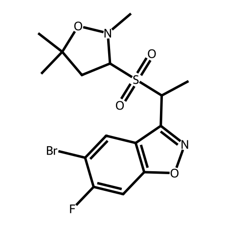 CC(c1noc2cc(F)c(Br)cc12)S(=O)(=O)C1CC(C)(C)ON1C